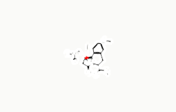 COC(=O)[C@@H]1Cc2cc(OC)ccc2[C@@]23C[C@H](C)[C@@H](C[N+](=O)[O-])C2CC(=O)N13